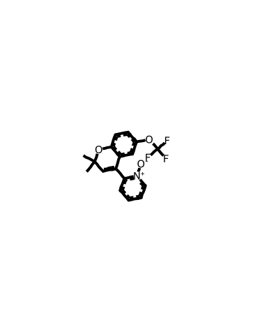 CC1(C)C=C(c2cccc[n+]2[O-])c2cc(OC(F)(F)F)ccc2O1